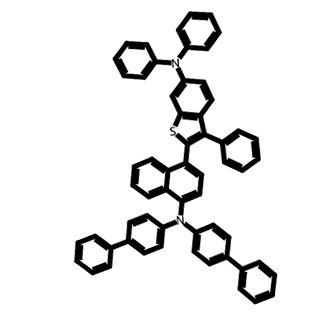 c1ccc(-c2ccc(N(c3ccc(-c4ccccc4)cc3)c3ccc(-c4sc5cc(N(c6ccccc6)c6ccccc6)ccc5c4-c4ccccc4)c4ccccc34)cc2)cc1